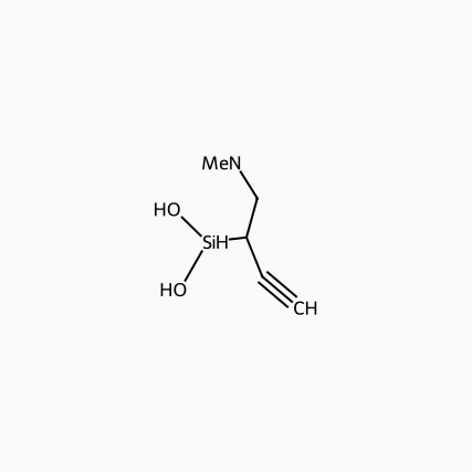 C#CC(CNC)[SiH](O)O